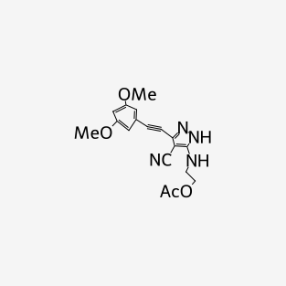 COc1cc(C#Cc2n[nH]c(NCCOC(C)=O)c2C#N)cc(OC)c1